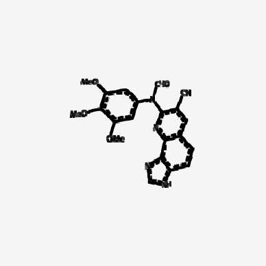 COc1cc(N(C=O)c2nc3c(ccc4[nH]cnc43)cc2C#N)cc(OC)c1OC